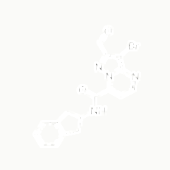 O=Cc1nn2c(C(=O)NC3Cc4ccccc4C3)ccnc2c1Br